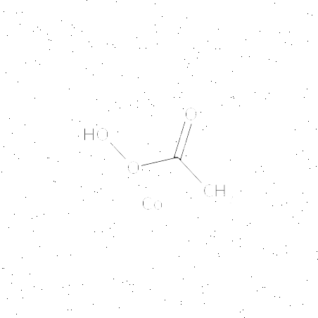 CC(=O)OO.[Co]